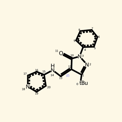 CC(C)(C)C1=NN(c2ccccc2)C(=O)/C1=C\Nc1ccncc1